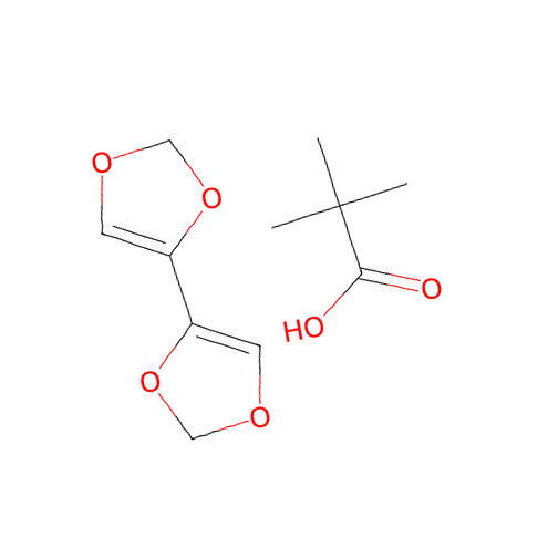 C1=C(C2=COCO2)OCO1.CC(C)(C)C(=O)O